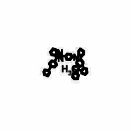 C[Si](c1ccccc1)(c1ccccc1)c1ccc2c3ccccc3n(-c3ccc(-c4nc(-c5ccc(-c6ccccc6)cc5)c5ccccc5n4)cc3)c2c1